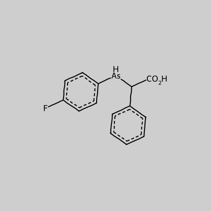 O=C(O)C([AsH]c1ccc(F)cc1)c1ccccc1